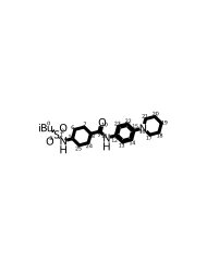 CCC(C)S(=O)(=O)NC1CCC(C(=O)Nc2ccc(N3CCCCC3)cc2)CC1